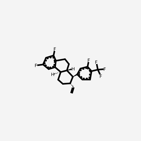 C=C[C@@H]1CC[C@H]2c3cc(F)cc(F)c3CC[C@@H]2[C@H]1c1ccc(C(F)(F)F)c(F)c1